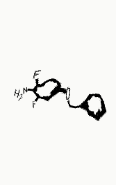 Nc1c(F)cc(OCc2ccccc2)cc1F